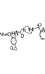 COc1cc2c(cc1NC(=O)CN1CCN(C(=O)c3ccccn3)CC1)OCO2